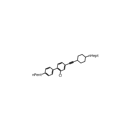 CCCCCCCC1CCC(C#Cc2ccc(-c3ccc(CCCCC)cc3)c(Cl)c2)CC1